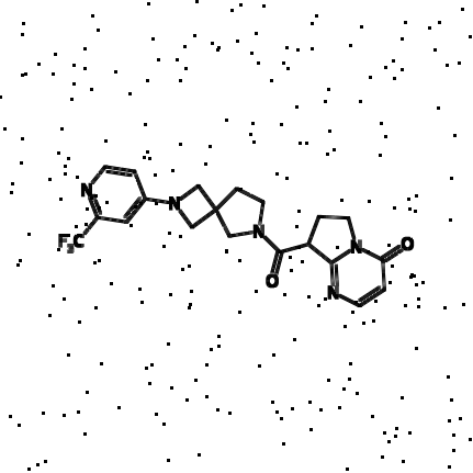 O=C(C1CCn2c1nccc2=O)N1CCC2(C1)CN(c1ccnc(C(F)(F)F)c1)C2